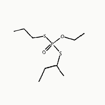 CCCSP(=O)(OCC)SC(C)CC